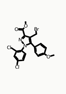 COC(=O)c1nn(-c2ccc(Cl)cc2Cl)c(-c2ccc(OC)cc2)c1CBr